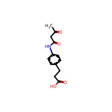 CC(=O)CC(=O)Nc1ccc(CCC(=O)O)cc1